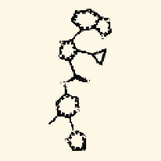 Cc1cc(NC(=O)c2snc(-c3cccc4ncsc34)c2C2CC2)cnc1-n1nccn1